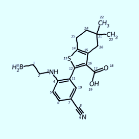 BCCNc1ccc(C#N)cc1-c1sc2c(c1C(=O)O)CC(C)(C)CC2